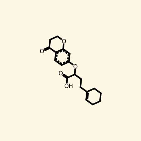 O=C1CCOc2cc(OC(CCC3=CCCCC3)C(=O)O)ccc21